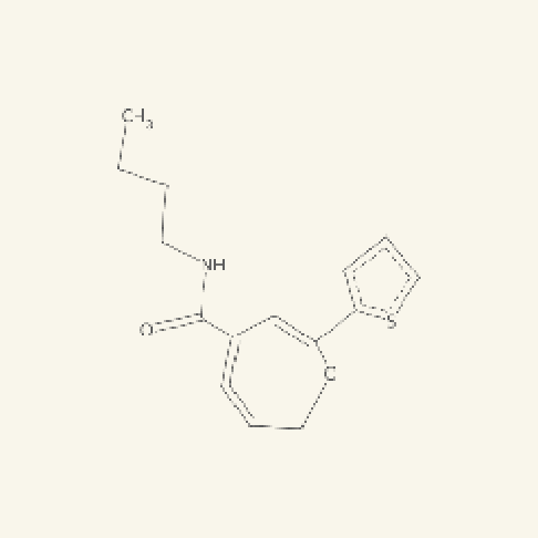 CCCCNC(=O)C1=C=CCOC(c2cccs2)=C1